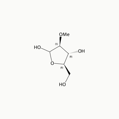 CO[C@@H]1C(O)O[C@H](CO)[C@H]1O